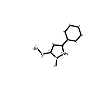 CN1NC(C2CCCCC2)CC1OC(C)(C)C